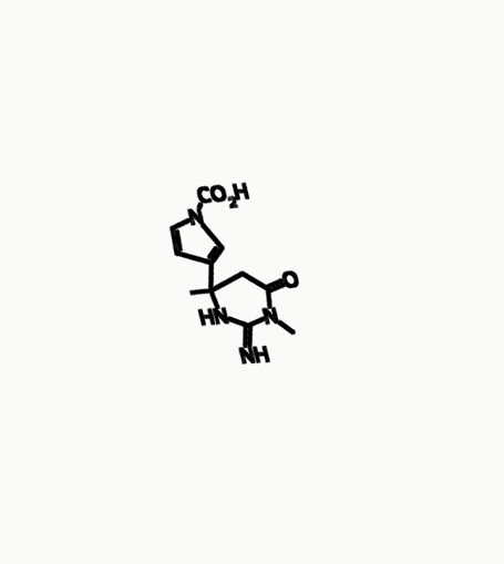 CN1C(=N)NC(C)(c2ccn(C(=O)O)c2)CC1=O